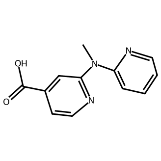 CN(c1ccccn1)c1cc(C(=O)O)ccn1